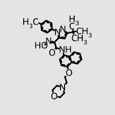 Cc1ccc(-n2nc(C(C)(C)C)cc2/C(=N/O)C(=O)Nc2ccc(OCCN3CCOCC3)c3ccccc23)cc1